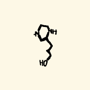 OCCCC1C[N]CCN1